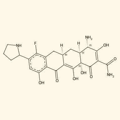 NC(=O)C1=C(O)[C@@H](N)[C@@H]2C[C@@H]3Cc4c(F)c(C5CCCN5)cc(O)c4C(=O)C3=C(O)[C@]2(O)C1=O